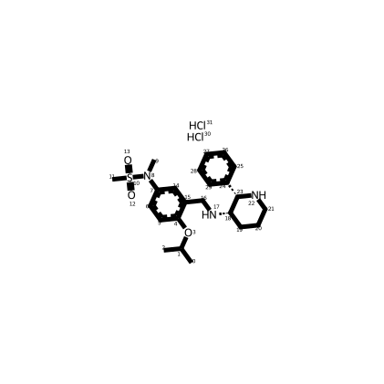 CC(C)Oc1ccc(N(C)S(C)(=O)=O)cc1CN[C@H]1CCCN[C@H]1c1ccccc1.Cl.Cl